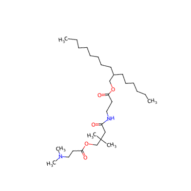 CCCCCCCCC(CCCCCC)COC(=O)CCNC(=O)CC(C)(C)COC(=O)CCN(C)C